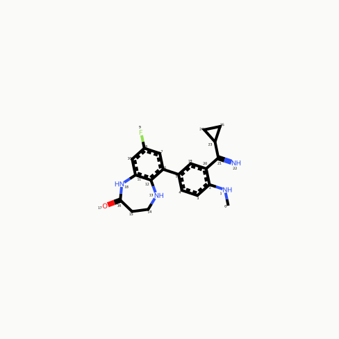 CNc1ccc(-c2cc(F)cc3c2NCCC(=O)N3)cc1C(=N)C1CC1